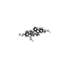 COc1cccc(-c2nnc(NSC(C)C(OC)c3ncc(C)cn3)n2-c2c(OC)ccnc2OC)n1